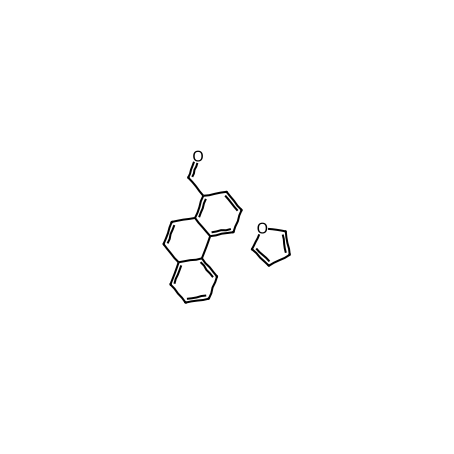 O=Cc1cccc2c1ccc1ccccc12.c1ccoc1